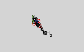 CCCCCCOc1ccc2c(c1)C(=O)N(c1ccc(F)cc1F)C2=O